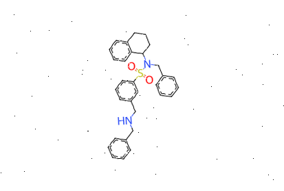 O=S(=O)(c1cccc(CNCc2ccccc2)c1)N(Cc1ccccc1)C1CCCc2ccccc21